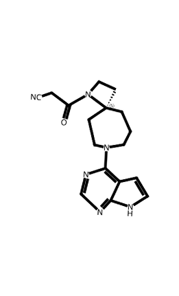 N#CCC(=O)N1CC[C@@]12CCCN(c1ncnc3[nH]ccc13)CC2